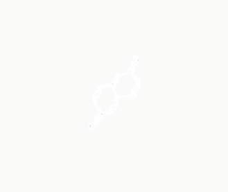 O=C1C=CC2=CC(=O)C=CC2=C1